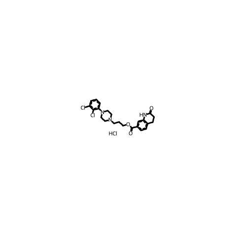 Cl.O=C1CCc2ccc(C(=O)OCCCN3CCN(c4cccc(Cl)c4Cl)CC3)cc2N1